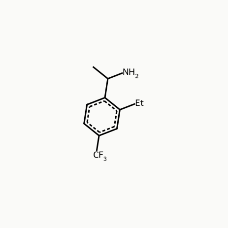 CCc1cc(C(F)(F)F)ccc1C(C)N